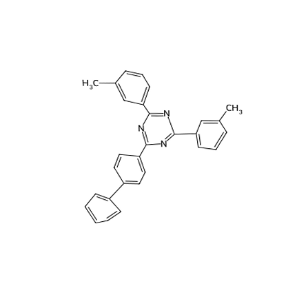 Cc1cccc(-c2nc(-c3ccc(-c4ccccc4)cc3)nc(-c3cccc(C)c3)n2)c1